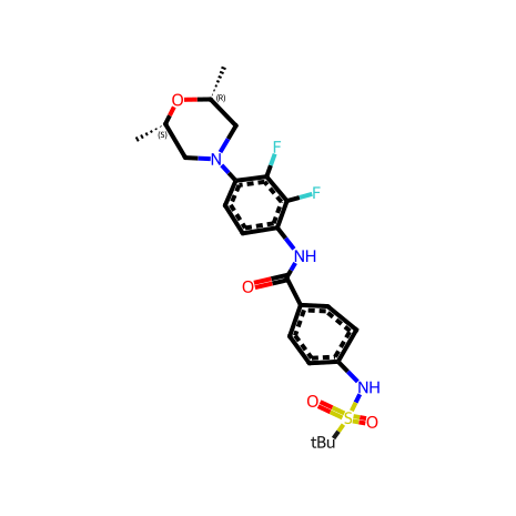 C[C@@H]1CN(c2ccc(NC(=O)c3ccc(NS(=O)(=O)C(C)(C)C)cc3)c(F)c2F)C[C@H](C)O1